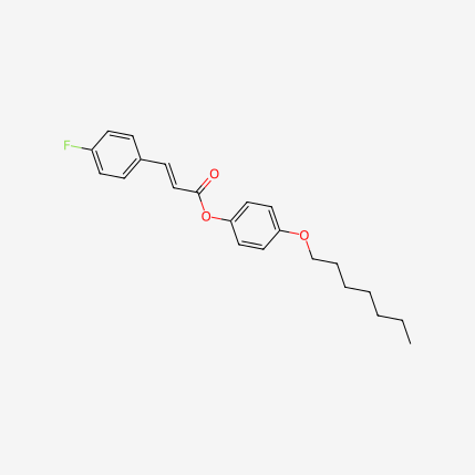 CCCCCCCOc1ccc(OC(=O)C=Cc2ccc(F)cc2)cc1